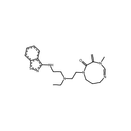 C=C1C(=O)N(CCN(CC)CCNc2nsc3ccccc23)CCC/N=C\N1C